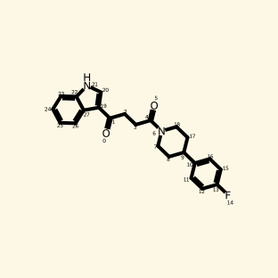 O=C(CCC(=O)N1CCC(c2ccc(F)cc2)CC1)c1c[nH]c2ccccc12